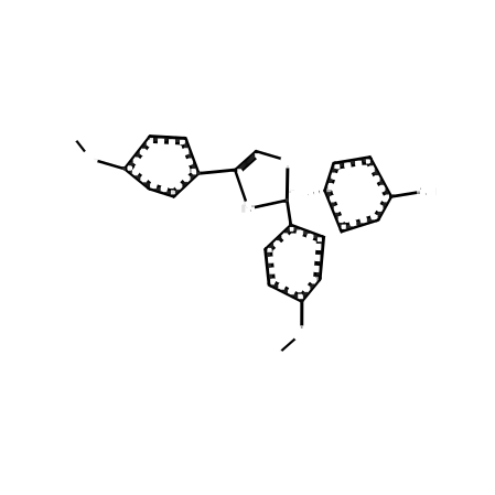 COc1ccc(C2=CO[C@@](c3ccc(N)cc3)(c3ccc(OC)cc3)N2)cc1